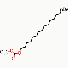 CCCCCCCCCCCCCCCCCCCCCCCCOC(=O)OC(=O)O